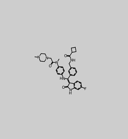 CN1CCN(CC(=O)N(C)c2ccc(N/C(=C3\C(=O)Nc4cc(F)ccc43)c3cccc(CNC(=O)C4CCC4)c3)cc2)CC1